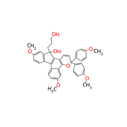 COc1ccc(C2(c3ccc(OC)cc3)C=Cc3c4c(c5ccc(OC)cc5c3O2)-c2ccc(OC)cc2C4(O)CCCO)cc1